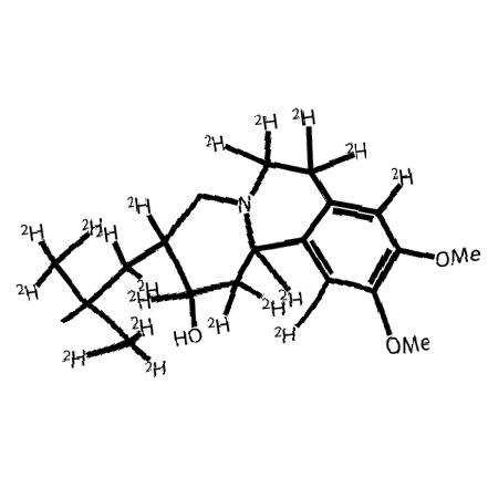 [2H]c1c(OC)c(OC)c([2H])c2c1C([2H])([2H])C([2H])([2H])N1CC([2H])(C([2H])([2H])C(C)(C([2H])([2H])[2H])C([2H])([2H])[2H])C([2H])(O)C([2H])([2H])C21[2H]